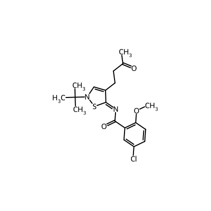 COc1ccc(Cl)cc1C(=O)N=c1sn(C(C)(C)C)cc1CCC(C)=O